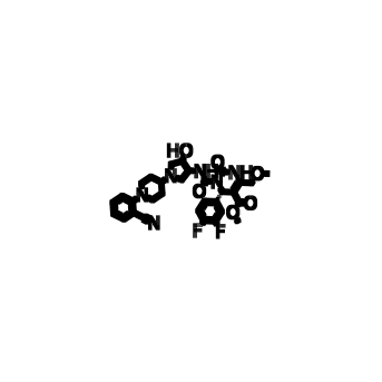 COCC1=C(C(=O)OC)[C@H](c2ccc(F)c(F)c2)N(C(=O)NC2CN(C3CCN(c4ccccc4C#N)CC3)CC2O)C(=O)N1